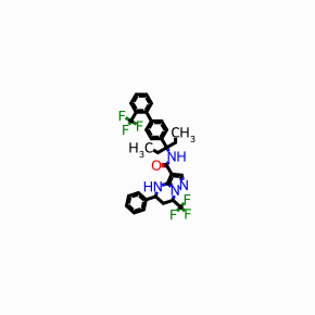 CCC(CC)(NC(=O)c1cnn2c1NC(c1ccccc1)CC2C(F)(F)F)c1ccc(-c2ccccc2C(F)(F)F)cc1